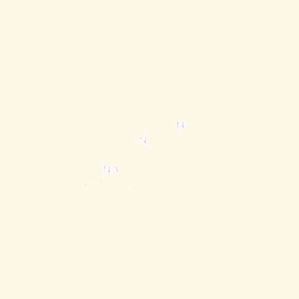 COC(C)C(=O)NC1CCCCC1CCN1CCN(c2ccccc2F)CC1